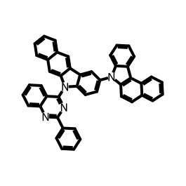 c1ccc(-c2nc(-n3c4ccc(-n5c6ccccc6c6c7ccccc7ccc65)cc4c4cc5ccccc5cc43)c3ccccc3n2)cc1